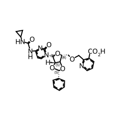 O=C(Nc1ccn([C@@H]2O[C@H](COCc3ncccc3C(=O)O)C3O[C@H](c4ccccc4)O[C@@H]32)c(=O)n1)NC1CC1